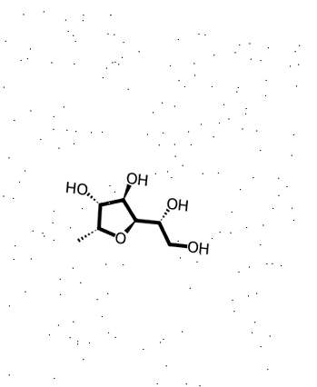 C[C@H]1O[C@H]([C@H](O)CO)[C@H](O)[C@H]1O